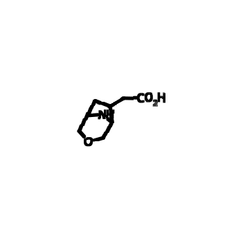 O=C(O)CC1CC2COCC1N2